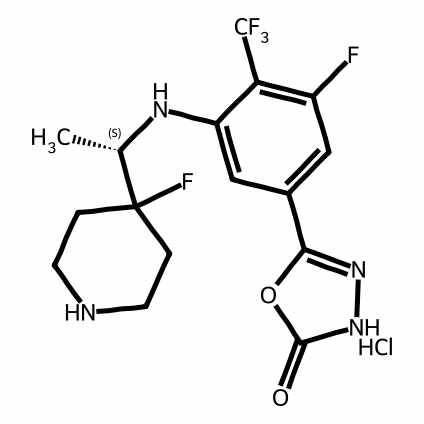 C[C@H](Nc1cc(-c2n[nH]c(=O)o2)cc(F)c1C(F)(F)F)C1(F)CCNCC1.Cl